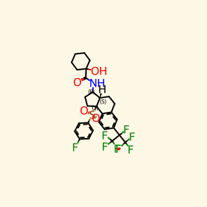 O=C(N[C@@H]1CC[C@@]2(S(=O)(=O)c3ccc(F)cc3)c3ccc(C(F)(C(F)(F)F)C(F)(F)F)cc3CC[C@@H]12)C1(O)CCCCC1